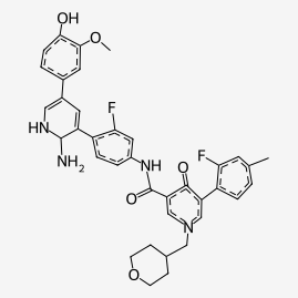 COc1cc(C2=CNC(N)C(c3ccc(NC(=O)c4cn(CC5CCOCC5)cc(-c5ccc(C)cc5F)c4=O)cc3F)=C2)ccc1O